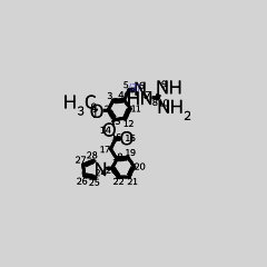 COc1cc(/C=N\NC(=N)N)ccc1OC(=O)Cc1ccccc1-n1cccc1